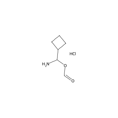 Cl.NC(OC=O)C1CCC1